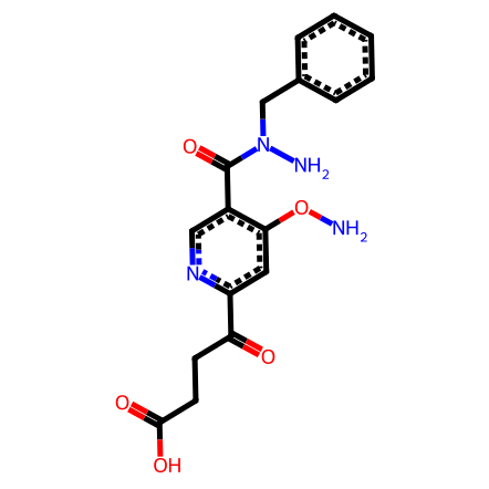 NOc1cc(C(=O)CCC(=O)O)ncc1C(=O)N(N)Cc1ccccc1